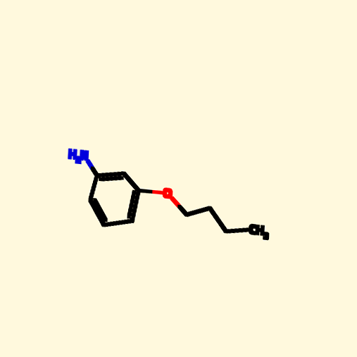 CCCCOc1cccc(N)c1